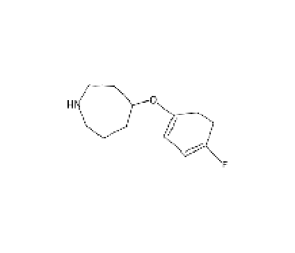 FC1=CC=C(OC2CCCNCC2)CC1